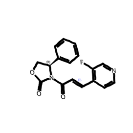 O=C(/C=C/c1ccncc1F)N1C(=O)OC[C@H]1c1ccccc1